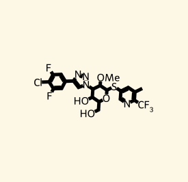 COC1C(Sc2cnc(C(F)(F)F)c(C)c2)OC(CO)C(O)C1n1cc(-c2cc(F)c(Cl)c(F)c2)nn1